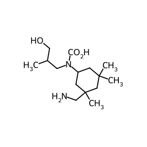 CC(CO)CN(C(=O)O)C1CC(C)(C)CC(C)(CN)C1